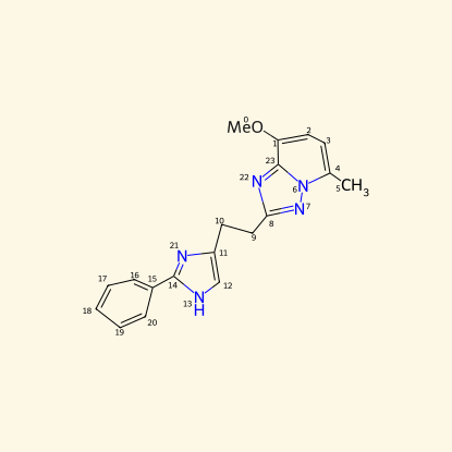 COc1ccc(C)n2nc(CCc3c[nH]c(-c4ccccc4)n3)nc12